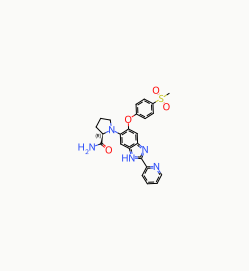 CS(=O)(=O)c1ccc(Oc2cc3nc(-c4ccccn4)[nH]c3cc2N2CCC[C@@H]2C(N)=O)cc1